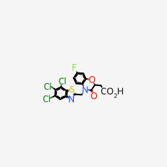 O=C(O)CC1Oc2cc(F)ccc2N(Cc2nc3cc(Cl)c(Cl)c(Cl)c3s2)C1=O